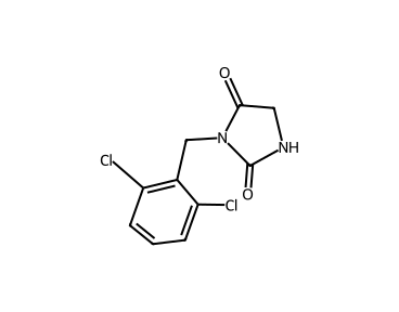 O=C1CNC(=O)N1Cc1c(Cl)cccc1Cl